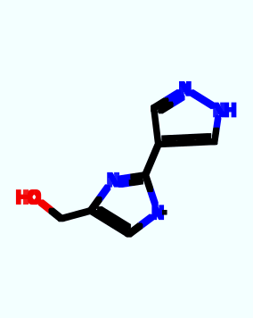 OCC1=C[N]C(c2cn[nH]c2)=N1